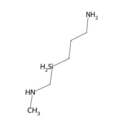 CNC[SiH2]CCCN